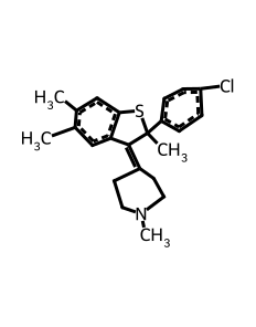 Cc1cc2c(cc1C)C(=C1CCN(C)CC1)C(C)(c1ccc(Cl)cc1)S2